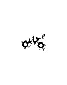 CC(C)(NC(=O)[C@@]1(c2ccc(Cl)cc2)C[C@H]1CO)c1ccccc1